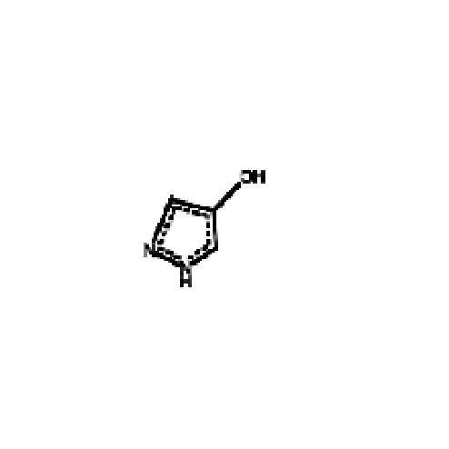 Oc1[c]n[nH]c1